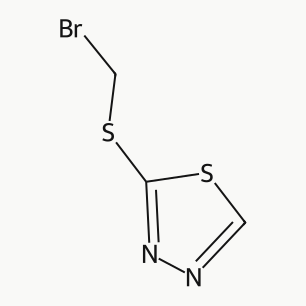 BrCSc1nncs1